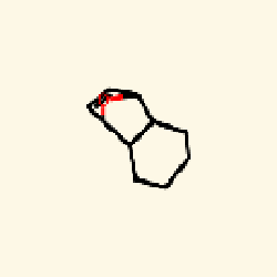 C1=CC2OC1C1CCCCC21